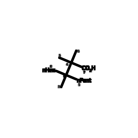 CCCCCCC(C)(CCCCC)C(C)(C)C(=O)O